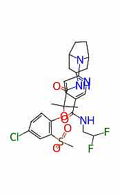 CC(C)(Oc1ccc(Cl)cc1S(C)(=O)=O)C(=O)NC1CC2CCC(C1)N2c1ccc(C(=O)NCC(F)F)cn1